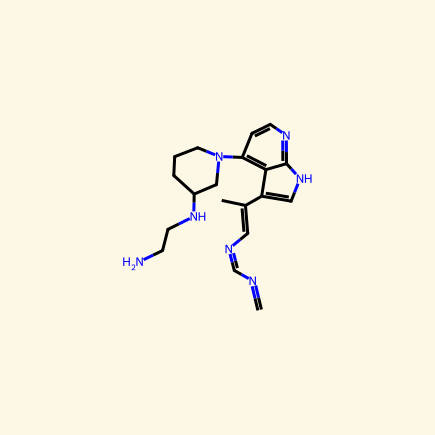 C=N/C=N\C=C(/C)c1c[nH]c2nccc(N3CCCC(NCCN)C3)c12